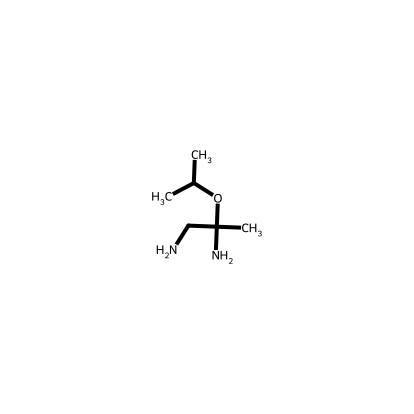 CC(C)OC(C)(N)CN